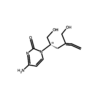 C=C=C(CO)C[C@@H](CO)n1ccc(N)nc1=O